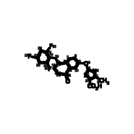 Cc1nc(Oc2ccc3c(c2)c(=O)ncn3Cc2c(F)cc(F)cc2F)sc1C(=O)O